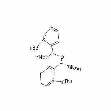 CCCCCCCCCC(OC(CCCCCCCCC)c1ccccc1CCCC)c1ccccc1CCCC